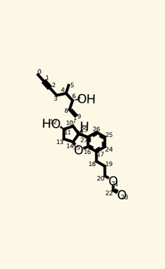 CC#CCC(C)[C@H](O)/C=C/[C@H]1[C@H](O)CC2Oc3c(CCCOC=O)cccc3[C@@H]21